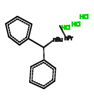 CCCC.CCCCC(c1ccccc1)c1ccccc1.Cl.Cl.Cl